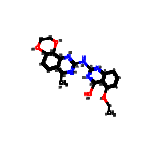 CCOc1cccc2nc(Nc3nc(C)c4ccc5c(c4n3)OCCO5)nc(O)c12